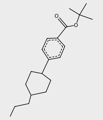 CCCC1CCC(c2ccc(C(=O)OC(C)(C)C)cc2)CC1